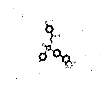 O=C(O)c1cc(-c2ccc([C@@H]3[C@@H](CC[C@H](O)c4ccc(F)cc4)C(=O)N3c3ccc(F)cc3)cc2)ccc1O